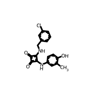 Cc1cc(Nc2c(NCc3cccc(Cl)c3)c(=O)c2=O)ccc1O